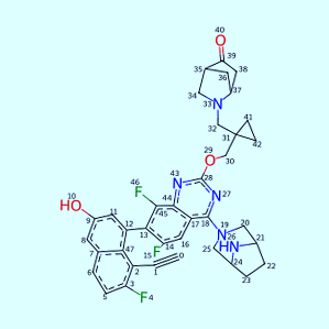 C#Cc1c(F)ccc2cc(O)cc(-c3c(F)cc4c(N5CC6CCC(C5)N6)nc(OCC5(CN6CC7CC6CC7=O)CC5)nc4c3F)c12